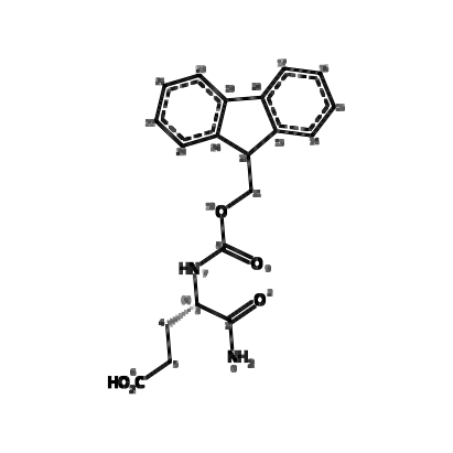 NC(=O)[C@H](CCC(=O)O)NC(=O)OCC1c2ccccc2-c2ccccc21